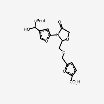 CCCCCC(O)c1coc(N2C(=O)COC2COCc2ccc(C(=O)O)o2)c1